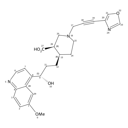 COc1ccc2nccc([C@@H](O)CC[C@@H]3CCN(CC#Cc4cocn4)C[C@@H]3C(=O)O)c2c1